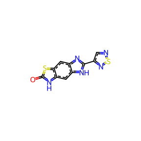 O=c1[nH]c2cc3[nH]c(-c4cnsn4)nc3cc2s1